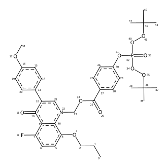 CCCOc1ccc(F)c2c(=O)c(-c3ccc(OC)cc3)cn(COC(=O)c3ccc(OP(=O)(OOC(C)(C)C)OOC(C)(C)C)cc3)c12